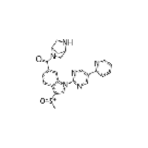 C[S+]([O-])c1cn(-c2ncc(-c3ccccn3)cn2)c2cc(C(=O)N3CC4CC3CN4)ccc12